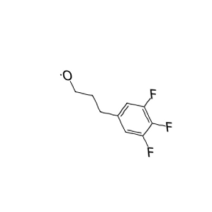 [O]CCCc1cc(F)c(F)c(F)c1